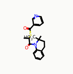 CC(SC(=O)c1cccnc1)C(=O)N1c2ccccc2CCC1(C)C(=O)O